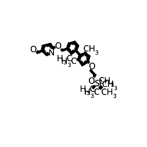 Cc1cc(OCCO[Si](C)(C)C(C)(C)C)cc(C)c1-c1cccc(COc2ccc(C=O)cn2)c1C